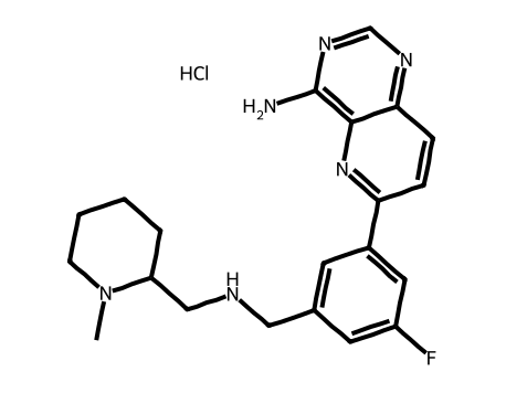 CN1CCCCC1CNCc1cc(F)cc(-c2ccc3ncnc(N)c3n2)c1.Cl